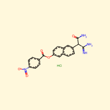 Cl.N=C(N)C(C(N)=O)c1ccc2cc(OC(=O)c3ccc([N+](=O)[O-])cc3)ccc2c1